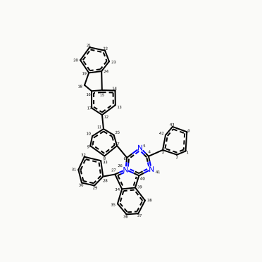 c1ccc(-c2nc(-c3cccc(-c4ccc5c(c4)Cc4ccccc4-5)c3)n3c(-c4ccccc4)c4ccccc4c3n2)cc1